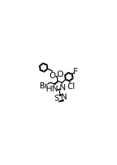 O=C(OCc1ccccc1)C1=C(CBr)NC(c2nccs2)=NC1c1ccc(F)cc1Cl